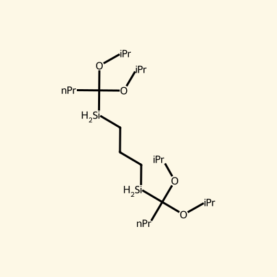 CCCC(OC(C)C)(OC(C)C)[SiH2]CCC[SiH2]C(CCC)(OC(C)C)OC(C)C